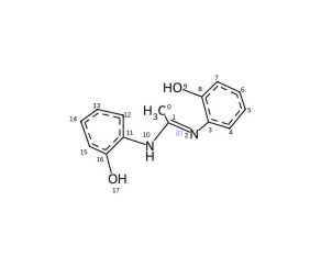 C/C(=N\c1ccccc1O)Nc1ccccc1O